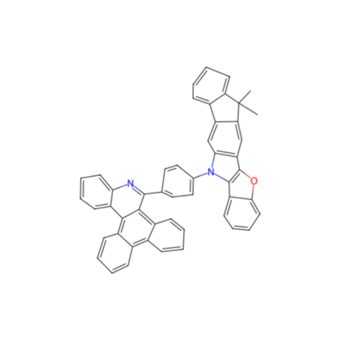 CC1(C)c2ccccc2-c2cc3c(cc21)c1oc2ccccc2c1n3-c1ccc(-c2nc3ccccc3c3c4ccccc4c4ccccc4c23)cc1